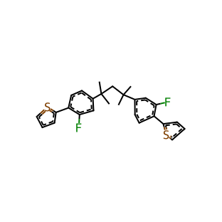 CC(C)(CC(C)(C)c1ccc(-c2cccs2)c(F)c1)c1ccc(-c2cccs2)c(F)c1